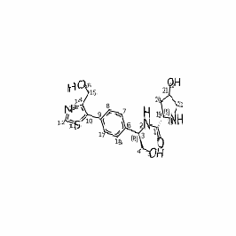 O=C(N[C@@H](CO)c1ccc(-c2scnc2CO)cc1)[C@@H]1CC(O)CN1